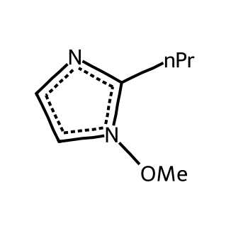 CCCc1nccn1OC